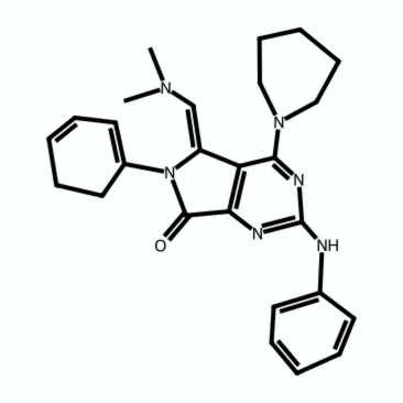 CN(C)C=C1c2c(nc(Nc3ccccc3)nc2N2CCCCC2)C(=O)N1C1=CC=CCC1